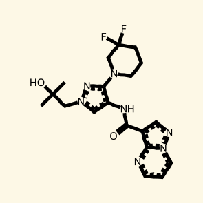 CC(C)(O)Cn1cc(NC(=O)c2cnn3cccnc23)c(N2CCCC(F)(F)C2)n1